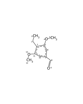 CCc1c(OC)cc(C=O)cc1OC